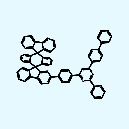 c1ccc(-c2ccc(-c3cc(-c4ccc(-c5ccc6c(c5)C5(c7ccccc7-6)c6ccccc6C6(c7ccccc7-c7ccccc76)c6ccccc65)cc4)nc(-c4ccccc4)n3)cc2)cc1